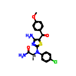 COc1ccc(C(=O)c2sc(N(c3ccc(Cl)cc3)[C@H](C)C(N)=O)nc2N)cc1